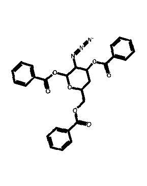 [N-]=[N+]=NC1C(OC(=O)c2ccccc2)CC(COC(=O)c2ccccc2)OC1OC(=O)c1ccccc1